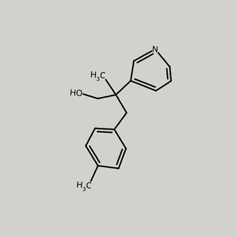 Cc1ccc(CC(C)(CO)c2cccnc2)cc1